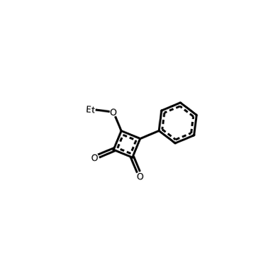 CCOc1c(-c2ccccc2)c(=O)c1=O